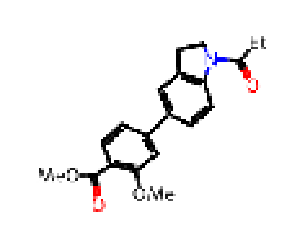 CCC(=O)N1CCc2cc(-c3ccc(C(=O)OC)c(OC)c3)ccc21